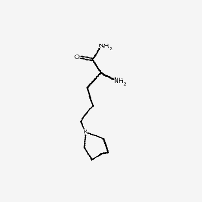 NC(=O)C(N)CCCN1CCCC1